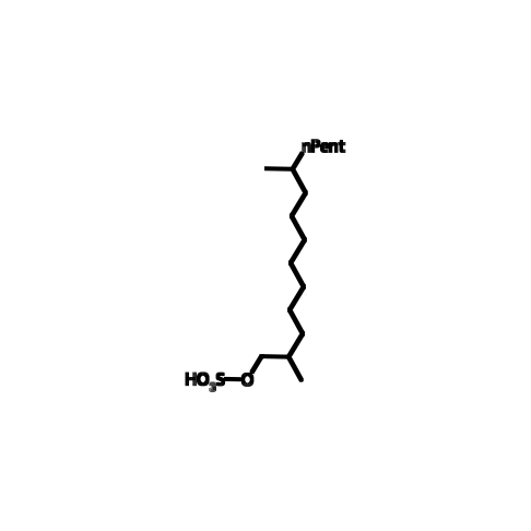 CCCCCC(C)CCCCCCCC(C)COS(=O)(=O)O